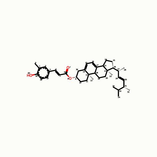 Cc1cc(/C=C/C(=O)O[C@H]2CC[C@@]3(C)C(=CC=C4C3CC[C@@]3(C)C4CC[C@@H]3[C@H](C)/C=C/[C@H](C)C(C)C)C2)ccc1O